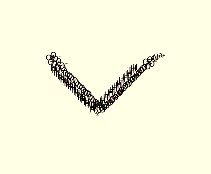 O.O.O.O.O.O.O.O.O.O.O.O.O.O.O.O.O.O.O.O.O.O.O.O.O.O.O.O.O.O.O.O.O.O.O.O.O.O.O.O.O.O.O.O.O.O.O.O.O=S(=O)([O-])[O-].O=S(=O)([O-])[O-].O=S(=O)([O-])[O-].[Al+3].[Al+3]